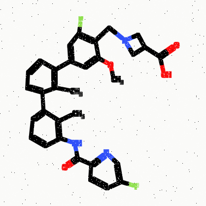 COc1cc(-c2cccc(-c3cccc(NC(=O)c4ccc(F)cn4)c3C)c2C)cc(F)c1CN1CC(C(=O)O)C1